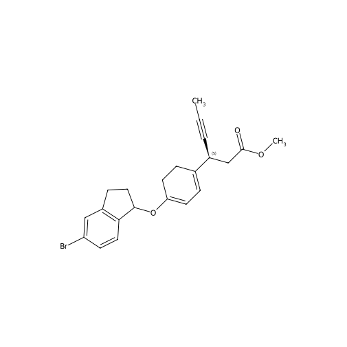 CC#C[C@@H](CC(=O)OC)C1=CC=C(OC2CCc3cc(Br)ccc32)CC1